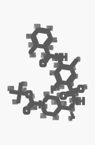 Cc1cc(S(=O)(=O)N[C@H](C)C2CCN(C(=O)OC(C)(C)C)CC2)c(F)cc1NC(=O)c1ccccc1C